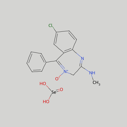 CNC1=Nc2ccc(Cl)cc2C(c2ccccc2)=[N+]([O-])C1.O=[Se](O)O